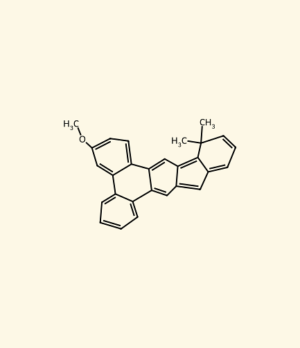 COc1ccc2c(c1)c1ccccc1c1cc3c(cc21)=C1C(=CC=CC1(C)C)C=3